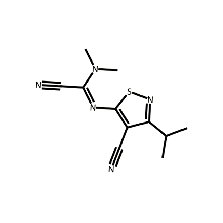 CC(C)c1nsc(N=C(C#N)N(C)C)c1C#N